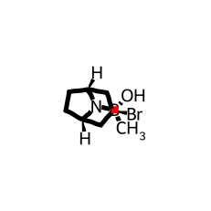 CB(O)N1[C@@H]2CC[C@H]1C[C@H](Br)C2